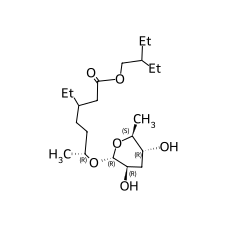 CCC(CC)COC(=O)CC(CC)CC[C@@H](C)O[C@@H]1O[C@@H](C)[C@H](O)C[C@H]1O